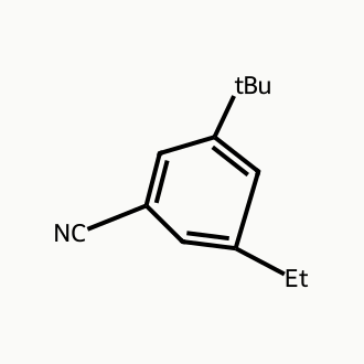 CCc1cc(C#N)cc(C(C)(C)C)c1